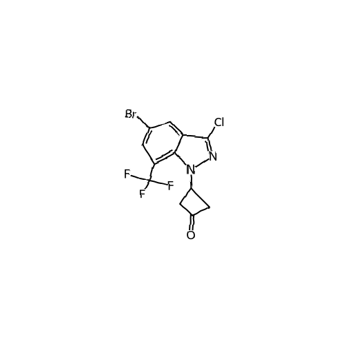 O=C1CC(n2nc(Cl)c3cc(Br)cc(C(F)(F)F)c32)C1